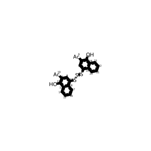 CC(=O)c1cc(SSSc2cc(C(C)=O)c(O)c3ccccc23)c2ccccc2c1O